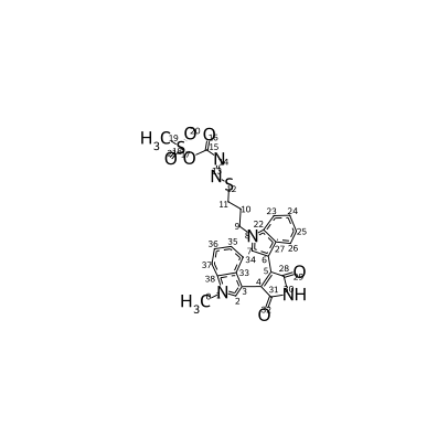 Cn1cc(C2=C(c3cn(CCCSN=NC(=O)OS(C)(=O)=O)c4ccccc34)C(=O)NC2=O)c2ccccc21